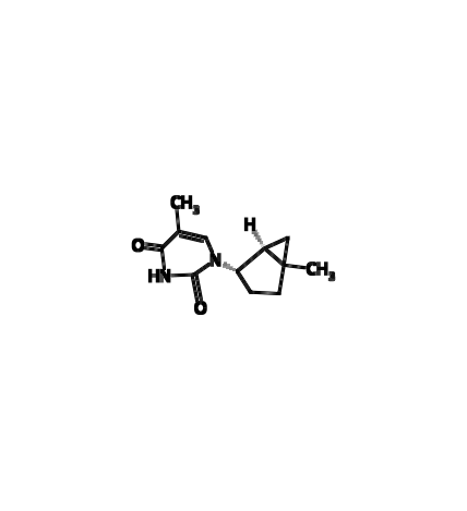 Cc1cn([C@H]2CCC3(C)C[C@H]23)c(=O)[nH]c1=O